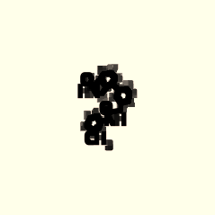 Cc1cccc(NC(=O)Cc2cccc(-c3cccc4c3CNC4=O)c2)c1